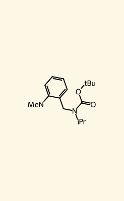 CNc1ccccc1CN(C(=O)OC(C)(C)C)C(C)C